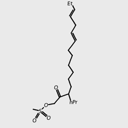 CCC=CCC=CCCCCCCC(CCC)C(=O)COS(C)(=O)=O